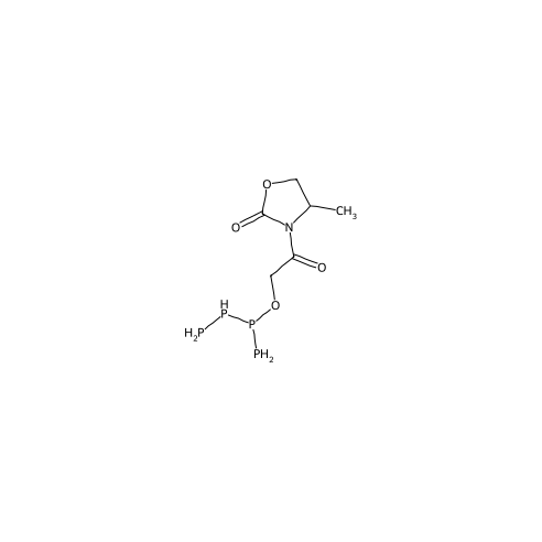 CC1COC(=O)N1C(=O)COP(P)PP